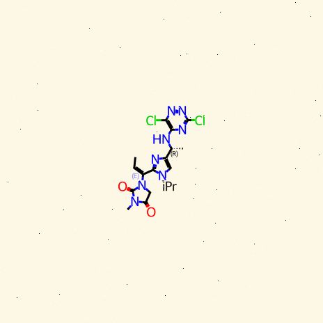 C/C=C(\c1nc([C@@H](C)Nc2nc(Cl)nnc2Cl)cn1C(C)C)N1CC(=O)N(C)C1=O